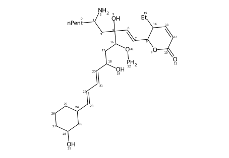 CCCCCC(N)CC(O)(C=CC1OC(=O)C=CC1CC)C(CC(O)C=CC=CC1CCCC(O)C1)OP